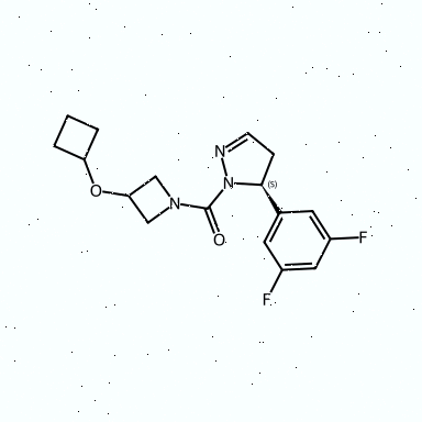 O=C(N1CC(OC2CCC2)C1)N1N=CC[C@H]1c1cc(F)cc(F)c1